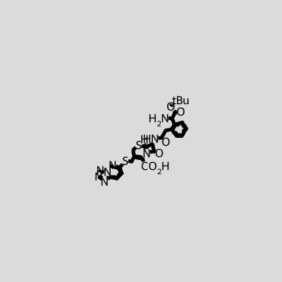 CC(C)(C)OC(=O)C(N)c1ccccc1CC(=O)NC1C(=O)N2C(C(=O)O)=C(CSc3ccc4nnnn4n3)CS[C@H]12